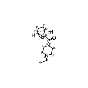 CCN1CCN(C(=O)C2C[C@H]3CC[C@@H]2O3)CC1